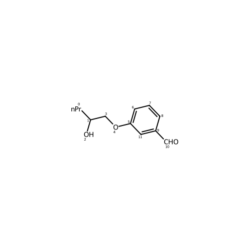 CCCC(O)COc1cccc(C=O)c1